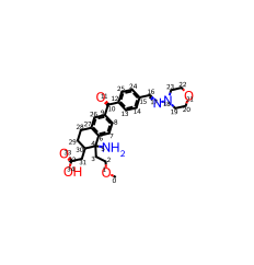 COCCC1(N)c2ccc(C(=O)c3ccc(C=NN4CCOCC4)cc3)cc2CCC1CC(=O)O